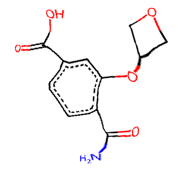 NC(=O)c1ccc(C(=O)O)cc1OC1COC1